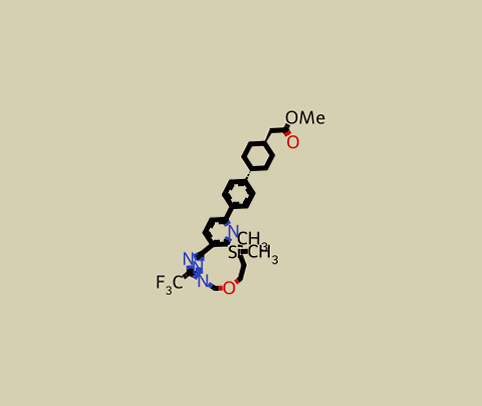 COC(=O)C[C@H]1CC[C@H](c2ccc(-c3ccc4c(n3)[Si](C)(C)CCOCn3nc-4nc3C(F)(F)F)cc2)CC1